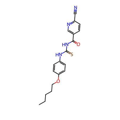 CCCCCOc1ccc(NC(=S)NC(=O)c2ccc(C#N)nc2)cc1